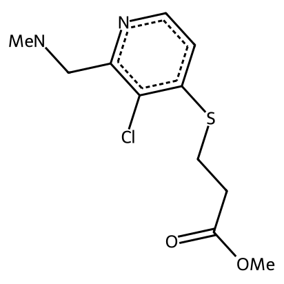 CNCc1nccc(SCCC(=O)OC)c1Cl